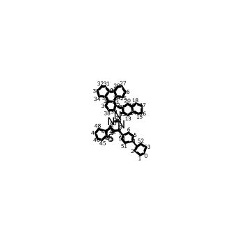 c1ccc(-c2ccc(-c3nc(-n4c5cc6ccccc6cc5c5c6c7ccccc7c7ccccc7c6ccc54)nc4c3sc3ccccc34)cc2)cc1